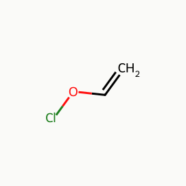 C=COCl